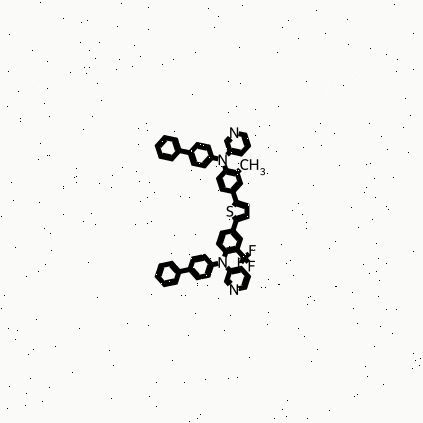 Cc1cc(-c2ccc(-c3ccc(N(c4ccc(-c5ccccc5)cc4)c4cccnc4)c(C(F)(F)F)c3)s2)ccc1N(c1ccc(-c2ccccc2)cc1)c1cccnc1